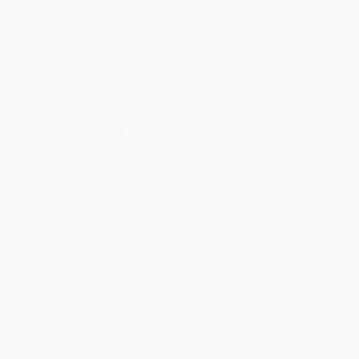 C=C(C)C(=O)OCCCc1ccnc(-c2cc(C)ccn2)c1